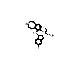 Fc1ccc2c(c1)CCC2Nc1c(Cl)ccc2c1CCNCC2.O=C(O)CCC(=O)O